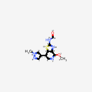 COc1ncc(-c2cnn(C)c2)c2sc(NC=O)nc12